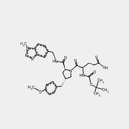 COc1ccc(C[C@@H]2C[C@@H](C(=O)NCc3ccc4c(c3)nnn4C)N(C(=O)C(CCC(=O)O)NC(=O)OC(C)(C)C)C2)cc1